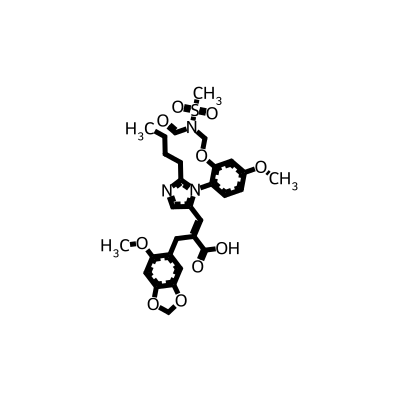 CCCCc1ncc(/C=C(\Cc2cc3c(cc2OC)OCO3)C(=O)O)n1-c1ccc(OC)cc1OCN(C=O)S(C)(=O)=O